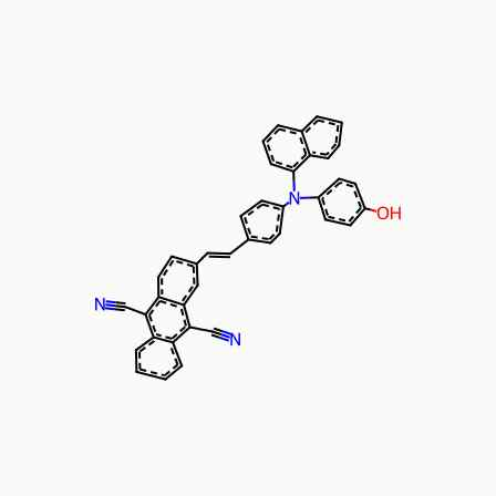 N#Cc1c2ccccc2c(C#N)c2cc(C=Cc3ccc(N(c4ccc(O)cc4)c4cccc5ccccc45)cc3)ccc12